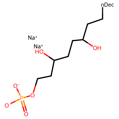 CCCCCCCCCCCCC(O)CCC(O)CCOP(=O)([O-])[O-].[Na+].[Na+]